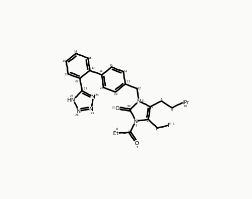 CCC(=O)n1c(CF)c(CCC(C)C)n(Cc2ccc(-c3ccccc3-c3nnn[nH]3)cc2)c1=O